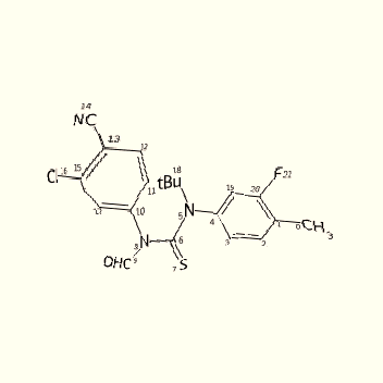 Cc1ccc(N(C(=S)N(C=O)c2ccc(C#N)c(Cl)c2)C(C)(C)C)cc1F